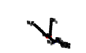 CC#CC#CC#CC#CC#CC#CO[Si](C)(CCCCN(C)CCCN(C)CCCC[Si](C)(OC)OC)OC#CC#CC#CC#CC#CC#CC